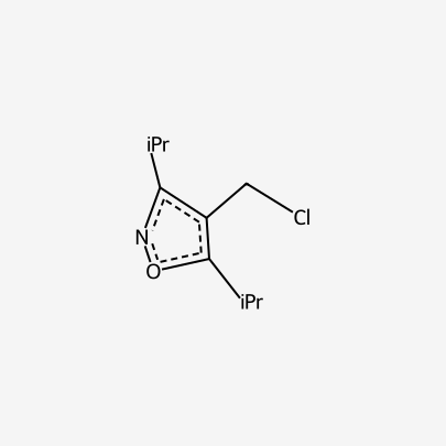 CC(C)c1noc(C(C)C)c1CCl